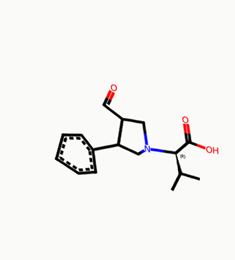 CC(C)[C@H](C(=O)O)N1CC(C=O)C(c2ccccc2)C1